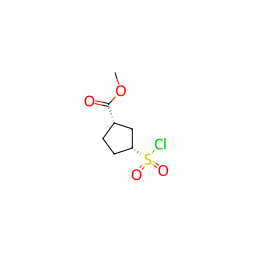 COC(=O)[C@H]1CC[C@@H](S(=O)(=O)Cl)C1